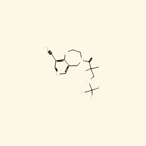 CC(C)(COC(F)(F)F)C(=O)N1CCOc2c(C#N)cncc2C1